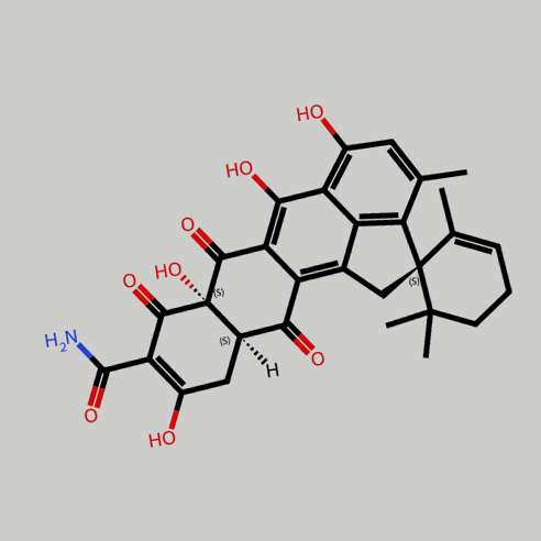 CC1=CCCC(C)(C)[C@@]12Cc1c3c(c(O)c4c(O)cc(C)c2c14)C(=O)[C@]1(O)C(=O)C(C(N)=O)=C(O)C[C@@H]1C3=O